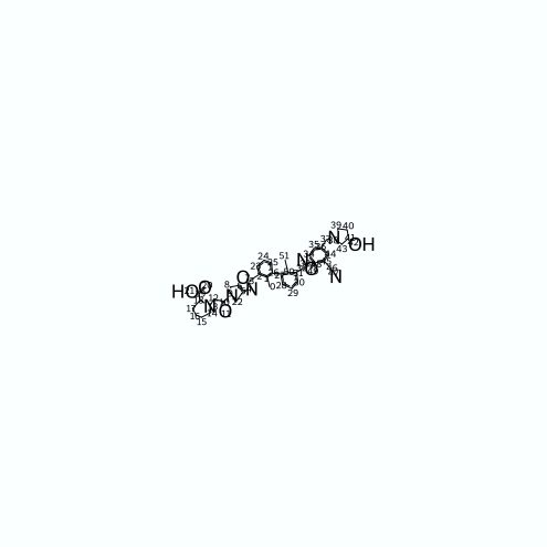 Cc1c(-c2nc3c(o2)CN(C(=O)CN2CCCCC2C(=O)O)C3)cccc1-c1cccc(-c2nc3cc(CN4CCC(O)C4)cc(C#N)c3o2)c1C